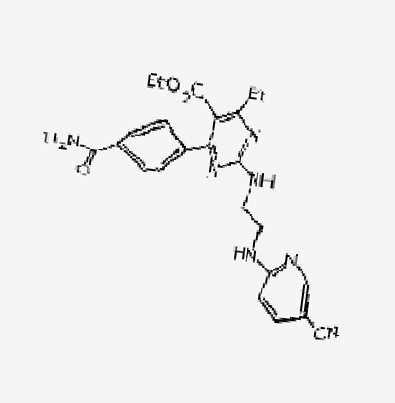 CCOC(=O)c1c(CC)nc(NCCNc2ccc(C#N)cn2)nc1-c1ccc(C(N)=O)cc1